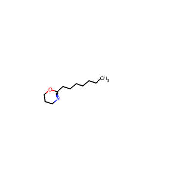 CCCCCCCC1=NCCCO1